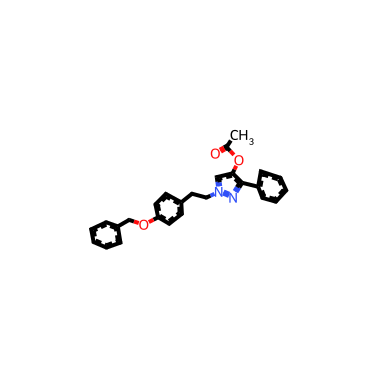 CC(=O)Oc1cn(CCc2ccc(OCc3ccccc3)cc2)nc1-c1ccccc1